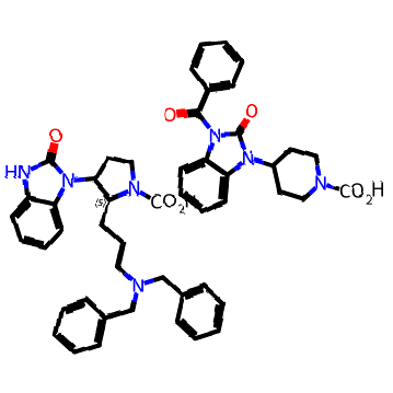 O=C(O)N1CCC(n2c(=O)[nH]c3ccccc32)[C@@H]1CCCN(Cc1ccccc1)Cc1ccccc1.O=C(O)N1CCC(n2c(=O)n(C(=O)c3ccccc3)c3ccccc32)CC1